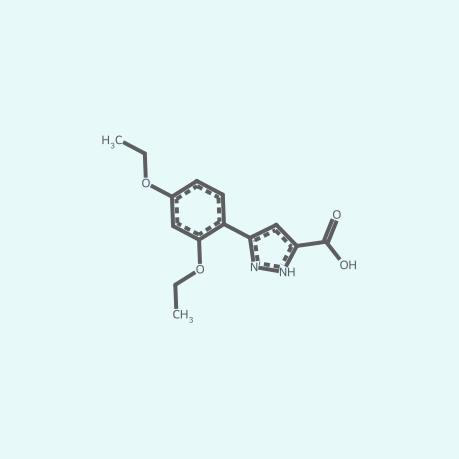 CCOc1ccc(-c2cc(C(=O)O)[nH]n2)c(OCC)c1